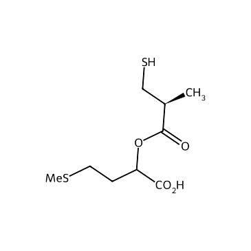 CSCCC(OC(=O)[C@H](C)CS)C(=O)O